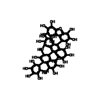 Oc1c(O)c(O)c(-c2c(O)c(O)c(-c3c4c(O)c(O)c(O)c(O)c4c(-c4c(O)c(O)c(O)c5oc6c(O)c(O)c(O)c(O)c6c45)c4c(O)c(O)c(O)c(O)c34)c3c(O)c(O)c(O)c(O)c23)c(O)c1O